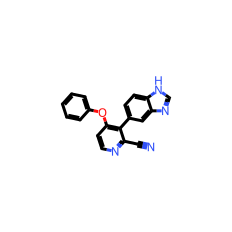 N#Cc1nccc(Oc2ccccc2)c1-c1ccc2[nH]cnc2c1